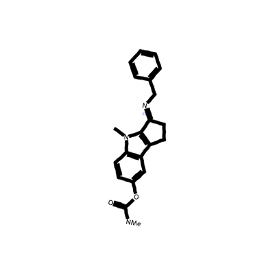 CNC(=O)Oc1ccc2c(c1)c1c(n2C)/C(=N/Cc2ccccc2)CC1